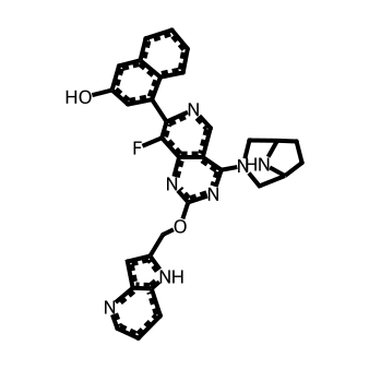 Oc1cc(-c2ncc3c(N4CC5CCC(C4)N5)nc(OCc4cc5ncccc5[nH]4)nc3c2F)c2ccccc2c1